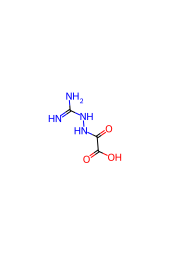 N=C(N)NNC(=O)C(=O)O